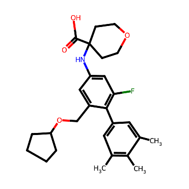 Cc1cc(-c2c(F)cc(NC3(C(=O)O)CCOCC3)cc2COC2CCCC2)cc(C)c1C